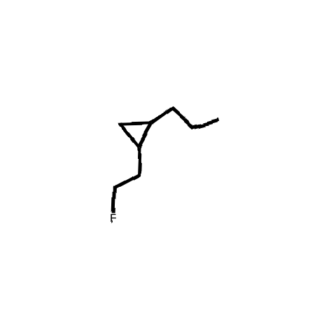 CCCC1CC1CCF